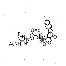 CC[C@@]1(OP(=O)(O)OC[C@H]2O[C@@H](n3cnc4c(NC(C)=O)nc(F)nc43)C[C@@H]2OC(C)=O)C(=O)OCc2c1cc1n(c2=O)Cc2cc3ccccc3nc2-1